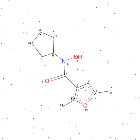 Cc1cc(C(=O)N(O)C2CCCC2)c(C)o1